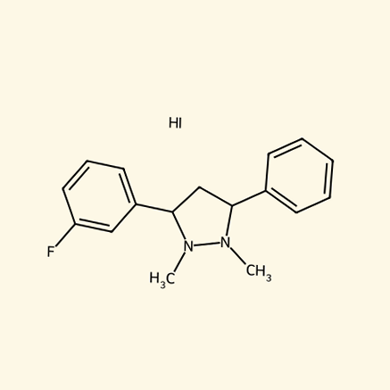 CN1C(c2ccccc2)CC(c2cccc(F)c2)N1C.I